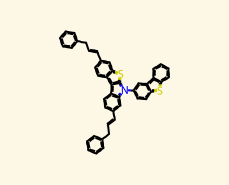 C(=C\c1ccc2c(c1)sc1c2c2ccc(/C=C/Cc3ccccc3)cc2n1-c1ccc2sc3ccccc3c2c1)/Cc1ccccc1